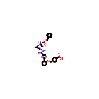 CC(C)C[C@H](NC(=O)OCc1ccccc1)C(=O)NNC(=O)c1csc(-c2ccccc2OCc2ccc(C(=O)O)cc2)n1